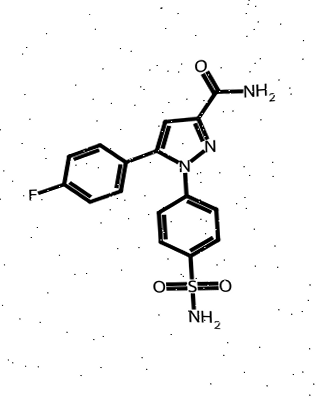 NC(=O)c1cc(-c2ccc(F)cc2)n(-c2ccc(S(N)(=O)=O)cc2)n1